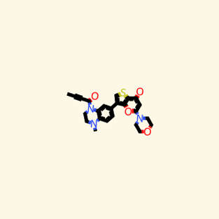 CC#CC(=O)N1CCN(C)c2ccc(-c3csc4c(=O)cc(N5CCOCC5)oc34)cc21